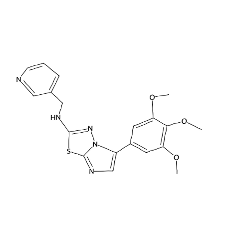 COc1cc(-c2cnc3sc(NCc4cccnc4)nn23)cc(OC)c1OC